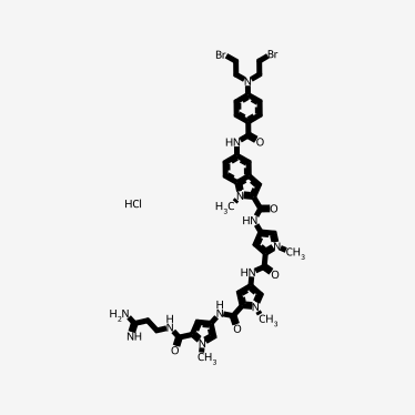 Cl.Cn1cc(NC(=O)c2cc(NC(=O)c3cc(NC(=O)c4cc5cc(NC(=O)c6ccc(N(CCBr)CCBr)cc6)ccc5n4C)cn3C)cn2C)cc1C(=O)NCCC(=N)N